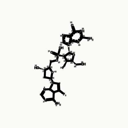 NC1=NC=NC2C1C(F)=CN2[C@H]1C[C@H](O)[C@@H](COP(=O)(O)[C@@H]2[C@H](F)[C@@H](CO)O[C@H]2n2cnc3c(=O)[nH]c(N)nc32)O1